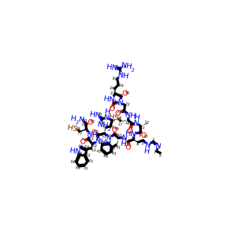 CC/N=C\NCC[C@H](NC(=O)[C@@H](C)NC(=O)[C@H](CS)NC(=O)CN1C(=O)N[C@@H](CCCNC(=N)N)C1=O)C(=O)N[C@H](Cc1ccccc1)C(=O)N[C@@H](CCCNC(=N)N)C(=O)N[C@@H](Cc1c[nH]c2ccccc12)C(=O)N[C@@H](CS)C(N)=O